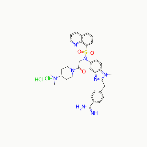 CN(C)C1CCN(C(=O)CN(c2ccc3c(c2)nc(Cc2ccc(C(=N)N)cc2)n3C)S(=O)(=O)c2cccc3cccnc23)CC1.Cl.Cl